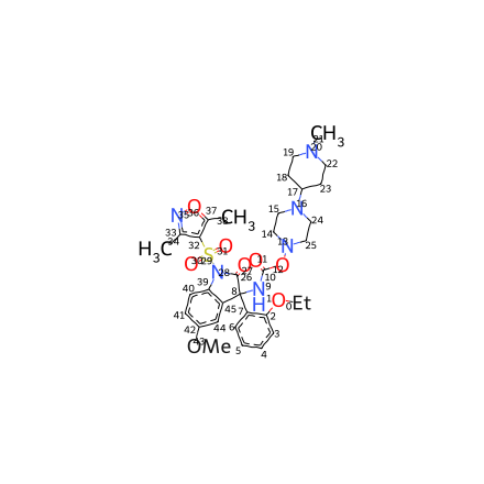 CCOc1ccccc1C1(NC(=O)ON2CCN(C3CCN(C)CC3)CC2)C(=O)N(S(=O)(=O)c2c(C)noc2C)c2ccc(OC)cc21